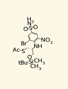 CC(=O)SC[C@@H](CO[Si](C)(C)C(C)(C)C)Nc1c(Br)cc(S(N)(=O)=O)cc1[N+](=O)[O-]